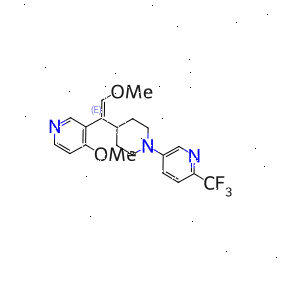 CO/C=C(/c1cnccc1OC)C1CCN(c2ccc(C(F)(F)F)nc2)CC1